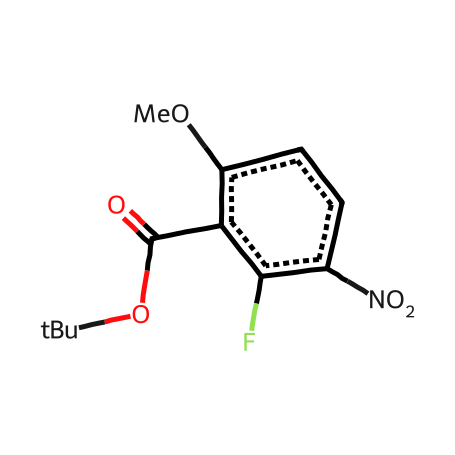 COc1ccc([N+](=O)[O-])c(F)c1C(=O)OC(C)(C)C